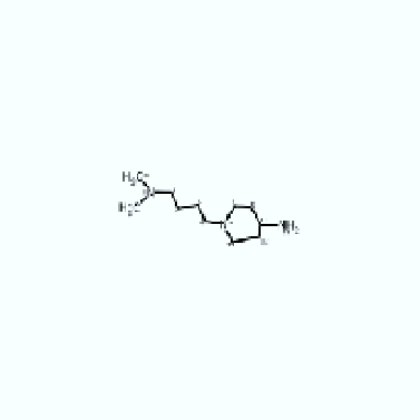 CN(C)CCCCN1CCC(N)CC1